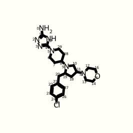 Nc1nnc(N2CCC(N3CC(N4CCOCC4)CC3Cc3ccc(Cl)cc3)CC2)[nH]1